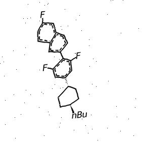 CCCC[C@H]1CC[C@H](c2cc(F)c(-c3ccc4cc(F)ccc4c3)c(F)c2)CC1